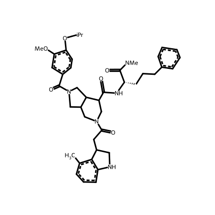 CNC(=O)[C@H](CCCc1ccccc1)NC(=O)C1CN(C(=O)CC2CNc3cccc(C)c32)CC2CN(C(=O)c3ccc(OC(C)C)c(OC)c3)CC21